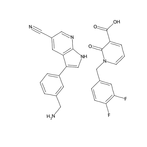 N#Cc1cnc2[nH]cc(-c3cccc(CN)c3)c2c1.O=C(O)c1cccn(Cc2ccc(F)c(F)c2)c1=O